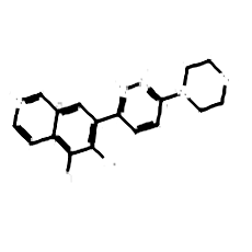 Cc1c(O)c(-c2ccc(N3CCNCC3)nn2)cc2cnccc12